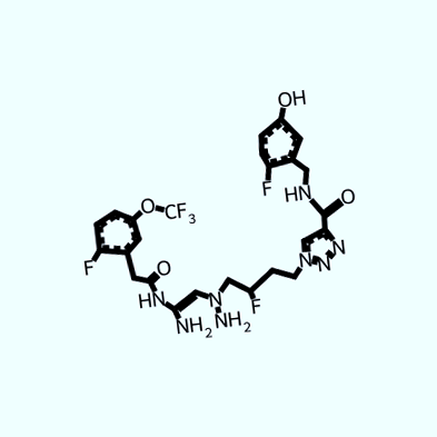 N/C(=C\N(N)CC(F)CCn1cc(C(=O)NCc2cc(O)ccc2F)nn1)NC(=O)Cc1cc(OC(F)(F)F)ccc1F